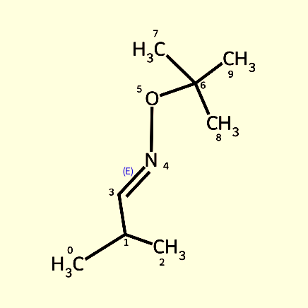 CC(C)/C=N/OC(C)(C)C